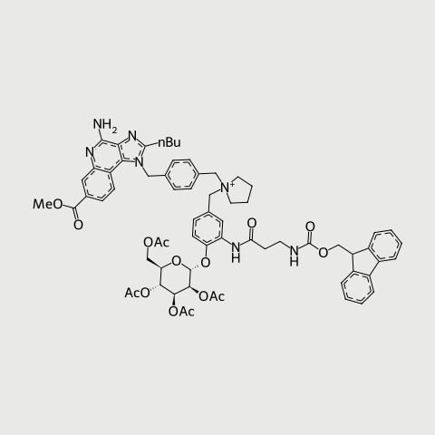 CCCCc1nc2c(N)nc3cc(C(=O)OC)ccc3c2n1Cc1ccc(C[N+]2(Cc3ccc(O[C@H]4O[C@H](COC(C)=O)[C@@H](OC(C)=O)[C@H](OC(C)=O)[C@@H]4OC(C)=O)c(NC(=O)CCNC(=O)OCC4c5ccccc5-c5ccccc54)c3)CCCC2)cc1